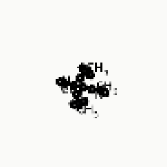 CN1c2ccccc2N(c2cccc(-c3cc(-c4ccc(-c5nc6ccccc6n5C)cc4)cc(-c4cccc(N5c6ccccc6N(C)c6ccccc65)c4)c3-c3ccc(-c4nc5ccccc5n4C)cc3)c2)c2ccccc21